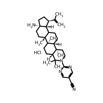 C=C(C)[C@@H]1CC[C@]2(N)CC[C@]3(C)C(CC[C@@H]4[C@@]5(C)CCN(c6ncc(C#N)cn6)C(C)(C)[C@@H]5CC[C@]43C)[C@@H]12.Cl